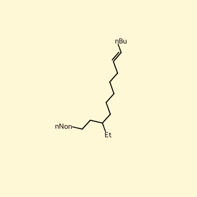 [CH2]CCCC=CCCCCCC(CC)CCCCCCCCCC[CH2]